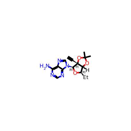 C#C[C@@]12OC(C)(C)O[C@@H]1[C@@H](CC)O[C@H]2n1cnc2c(N)ncnc21